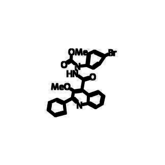 COC(=O)N(NC(=O)c1c(OC)c(-c2ccccc2)nc2ccccc12)c1ccc(Br)cc1